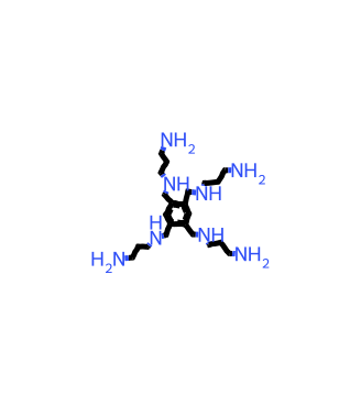 NCCCNCc1cc(CNCCCN)c(CNCCCN)cc1CNCCCN